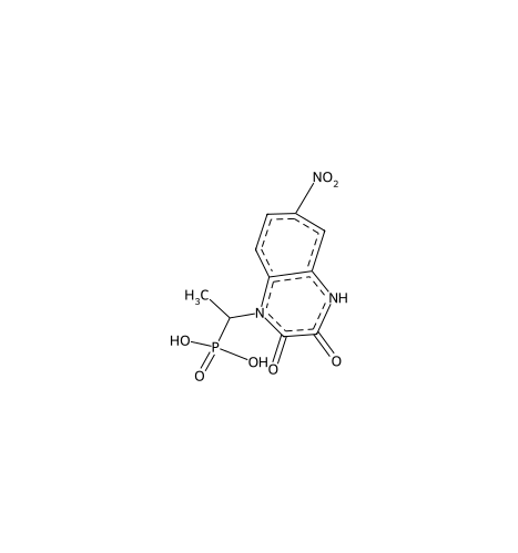 CC(n1c(=O)c(=O)[nH]c2cc([N+](=O)[O-])ccc21)P(=O)(O)O